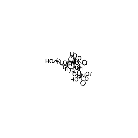 CC(=O)O[C@@]12CO[C@@H]1CC[C@@]1(C)[C@@H]3O[C@H](CN4CC[C@H]4CO)O[C@@H]3C3=C(C)[C@@H](OC(=O)[C@H](O)[C@@H](NC(=O)OC(C)C)c4ccccc4)C[C@@](O)([C@@H](OC(=O)c4ccccc4)[C@@H]12)C3(C)C